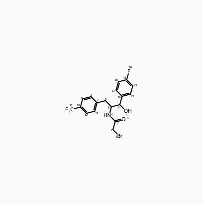 O=C(CBr)NC(Cc1ccc(C(F)(F)F)cc1)C(O)c1ccc(F)cc1